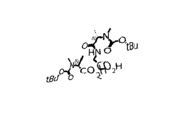 C[C@@H](C(=O)NCC(=O)O)N(C)C(=O)OC(C)(C)C.C[C@@H](C(=O)O)N(C)C(=O)OC(C)(C)C